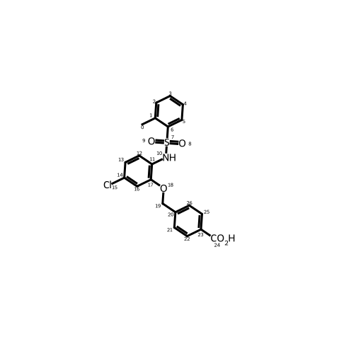 Cc1ccccc1S(=O)(=O)Nc1ccc(Cl)cc1OCc1ccc(C(=O)O)cc1